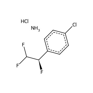 Cl.FC(F)[C@H](F)c1ccc(Cl)cc1.N